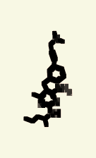 CCCC(C)Nc1nc(C)c(Cc2cccc(C#CCN(C)C)c2)c(N)n1